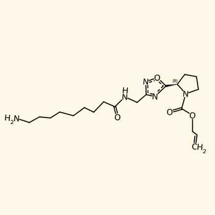 C=CCOC(=O)N1CCC[C@@H]1c1nc(CNC(=O)CCCCCCCCN)no1